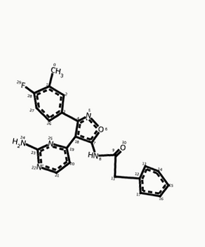 Cc1cc(-c2noc(NC(=O)Cc3ccccc3)c2-c2ccnc(N)n2)ccc1F